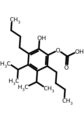 CCCCc1c(O)c(OC(=O)O)c(CCCC)c(C(C)C)c1C(C)C